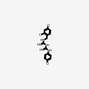 N=C(NCc1ccc(Cl)cc1Cl)NC(=N)Nc1ccc(Cl)cc1